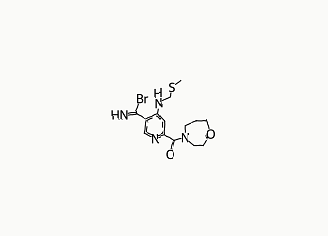 CSCNc1cc(C(=O)N2CCCOCC2)ncc1C(=N)Br